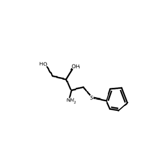 NC(CSc1ccccc1)C(O)CO